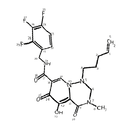 C=CCCCN1CN(C)C(=O)c2c(O)c(=O)c(C(=O)NCc3ccc(F)c(F)c3F)cn21